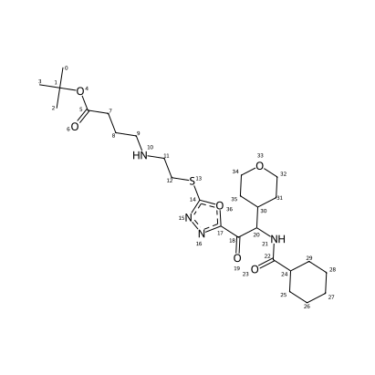 CC(C)(C)OC(=O)CCCNCCSc1nnc(C(=O)C(NC(=O)C2CCCCC2)C2CCOCC2)o1